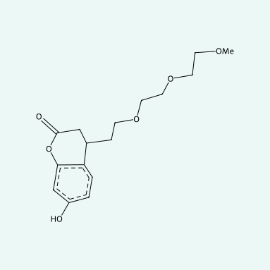 COCCOCCOCCC1CC(=O)Oc2cc(O)ccc21